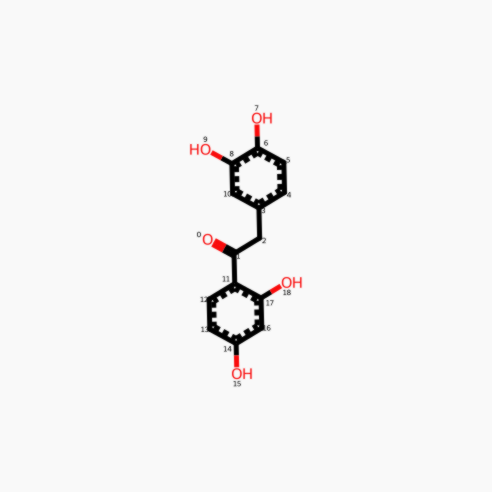 O=C(Cc1ccc(O)c(O)c1)c1ccc(O)cc1O